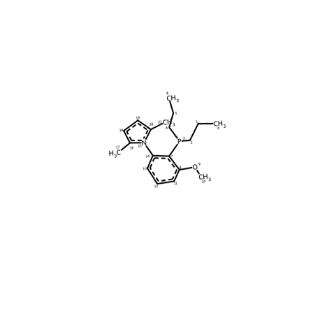 CCCP(CCC)c1c(OC)cccc1-n1c(C)ccc1C